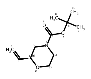 C=C[C@H]1CN(C(=O)OC(C)(C)C)CCO1